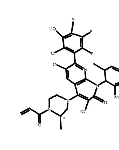 C=CC(=O)N1CCN(c2c(C#N)c(=O)n(C3C(C(C)C)=NC=CC3C)c3nc(-c4c(F)c(F)c(F)c(O)c4Cl)c(Cl)cc23)C[C@H]1C